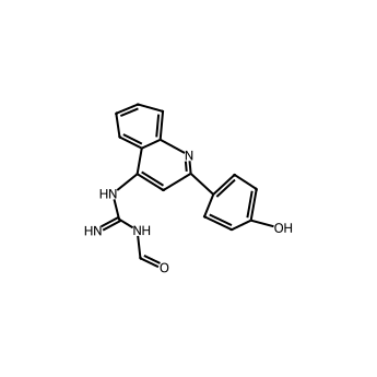 N=C(NC=O)Nc1cc(-c2ccc(O)cc2)nc2ccccc12